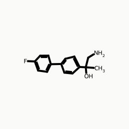 CC(O)(CN)c1ccc(-c2ccc(F)cc2)cc1